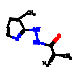 C=C(C)C(=O)NNc1ncccc1C